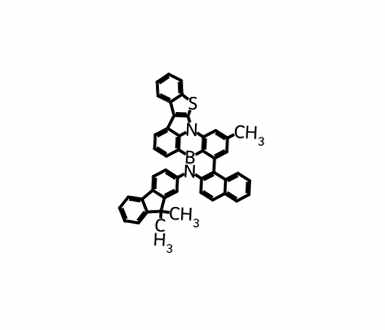 Cc1cc2c3c(c1)-n1c4sc5ccccc5c4c4cccc(c41)B3N(c1ccc3c(c1)C(C)(C)c1ccccc1-3)c1ccc3ccccc3c1-2